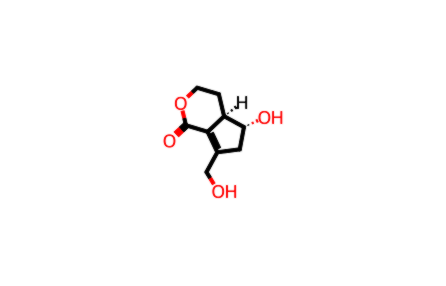 O=C1OCC[C@@H]2C1=C(CO)C[C@H]2O